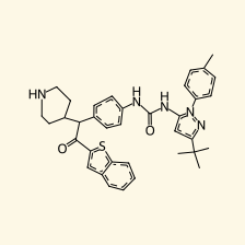 Cc1ccc(-n2nc(C(C)(C)C)cc2NC(=O)Nc2ccc(C(C(=O)c3cc4ccccc4s3)C3CCNCC3)cc2)cc1